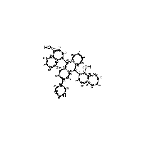 Oc1c(-c2c3ccccc3c(-c3ccc(O)c4ncccc34)c3ccc(-c4cncnc4)cc23)ccc2cccnc12